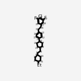 CCC1CCC(CCC2CCC(c3ccc(CCc4cc(F)c(Cl)c(F)c4)cc3)CC2)CC1